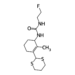 CC1=C(C2SCCCS2)CCCC1NC(=O)NCCF